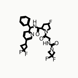 O=C(NC(c1ccccc1)c1ccc(C2CC(F)(F)C2)cn1)C1CC(F)CN1C(=O)CNC(=O)N1CC(F)(F)C1